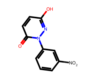 O=c1ccc(O)nn1-c1cccc([N+](=O)[O-])c1